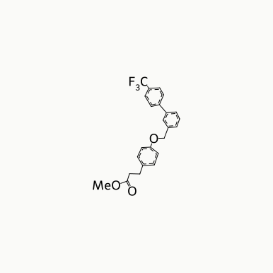 COC(=O)CCc1ccc(OCc2cccc(-c3ccc(C(F)(F)F)cc3)c2)cc1